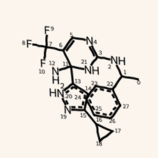 CC(NC1=NC=C(C(F)(F)F)C(N)(c2cc(C3CC3)n[nH]2)N1)c1ccccc1